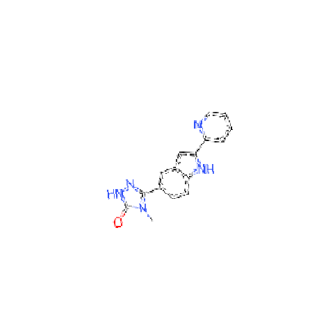 Cn1c(-c2ccc3[nH]c(-c4ccccn4)cc3c2)n[nH]c1=O